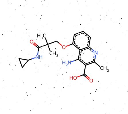 Cc1nc2cccc(OCC(C)(C)C(=O)NC3CC3)c2c(N)c1C(=O)O